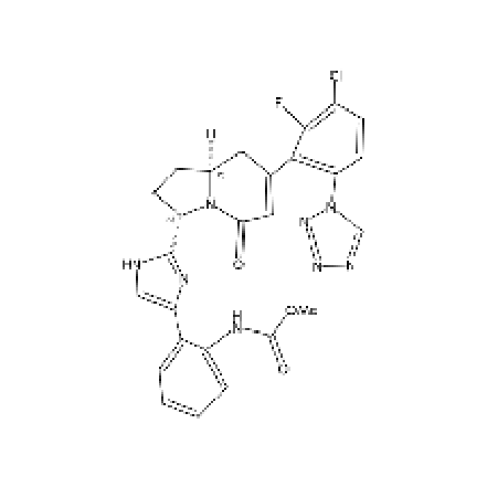 COC(=O)Nc1ccccc1-c1c[nH]c([C@@H]2CC[C@H]3CC(c4c(-n5cnnn5)ccc(Cl)c4F)=CC(=O)N32)n1